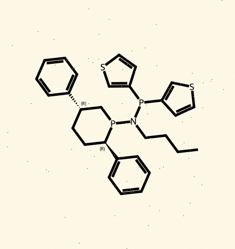 CCCCN(P(c1ccsc1)c1ccsc1)P1C[C@@H](c2ccccc2)CC[C@@H]1c1ccccc1